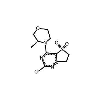 C[C@H]1COCCN1c1nc(Cl)nc2c1S(=O)(=O)CC2